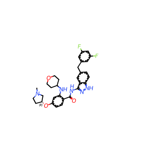 CN1CC[C@@H](Oc2ccc(C(=O)Nc3n[nH]c4ccc(Cc5cc(F)cc(F)c5)cc34)c(NC3CCOCC3)c2)C1